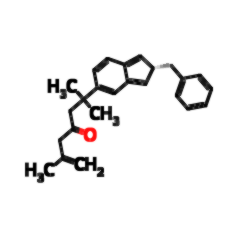 C=C(C)CC(=O)CC(C)(C)c1ccc2c(c1)=C[C@@H](Cc1ccccc1)C=2